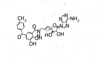 Cc1ccc(C(=O)c2cc(O)c(O)c(C(=O)NC/C=C/[C@H]3O[C@@H](n4cnc5c(N)ncnc54)C(O)[C@H]3O)c2)cc1